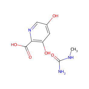 CNC(N)=O.O=C(O)c1ncc(O)cc1O